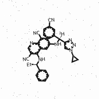 [2H][C@](Nc1cc(C#N)c2ncc(C#N)c(N[C@H](CC)c3ccccc3)c2c1)(c1cccc(C#N)c1)c1cn(C2CC2)nn1